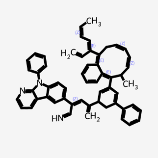 C=CC(=C\C=C/C)/C1=c2\cccc\c2=C(/C2=CC(C(=C)/C=C(\C=N)c3ccc4c(c3)c3cccnc3n4-c3ccccc3)CC(c3ccccc3)=C2)C(C)/C=C\C=C/C1